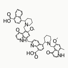 COc1cc(C)c2[nH]ccc(=O)c2c1CN1CCCCC1c1ccc(C(=O)O)c2nc(Cc3cc(OC)c(CN4CCCCC4c4ccc(C(=O)O)c5ccccc45)c4c(=O)cc[nH]c34)ccc12